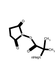 CCCCCCCC(C)(C)C(=O)ON1C(=O)CCC1=O